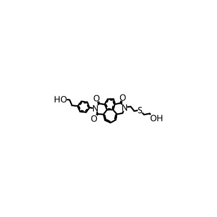 O=C1c2ccc3c4c2C(=CC=C=C4C(=O)N(c2ccc(CCO)cc2)C3=O)CN1CCSCCO